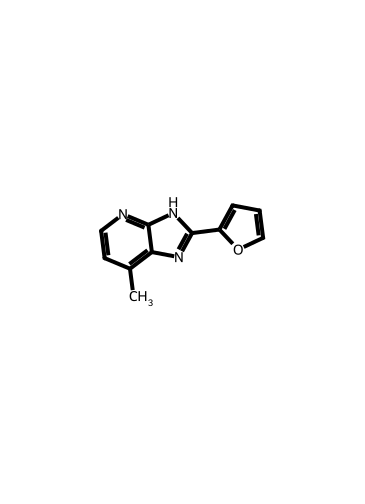 Cc1ccnc2[nH]c(-c3ccco3)nc12